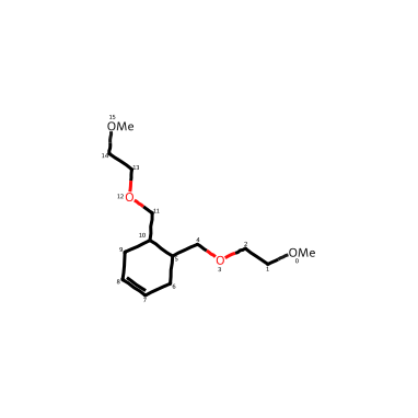 COCCOCC1CC=CCC1COCCOC